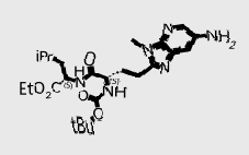 CCOC(=O)[C@H](CC(C)C)NC(=O)[C@H](CCc1nc2cc(N)cnc2n1C)NC(=O)OC(C)(C)C